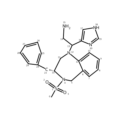 CS(=O)(=O)N1Cc2ccccc2N(C(CN)c2c[nH]cn2)C[C@H]1Cc1ccccc1